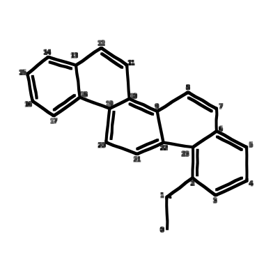 C[CH]c1cccc2ccc3c4ccc5ccccc5c4ccc3c12